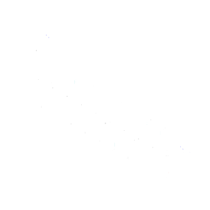 CC(F)(CCN)C(F)(F)C(F)(F)C(F)(F)C(F)(F)C(F)(F)C(F)(F)C(F)(F)C(F)(F)C(N)=O